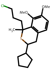 COc1ccc2c(c1OC)C(C)(CCCCl)SC(C1CCCC1)C2